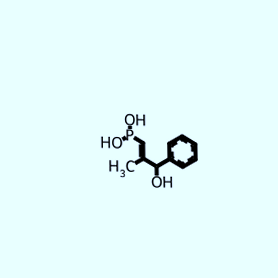 CC(=CP(O)O)C(O)c1ccccc1